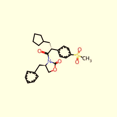 CS(=O)(=O)c1ccc([C@@H](CC2CCCC2)C(=O)N2C(=O)OC[C@H]2Cc2ccccc2)cc1